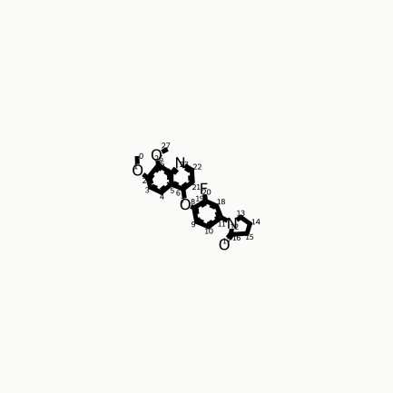 COc1ccc2c(Oc3ccc(N4CCCC4=O)cc3F)ccnc2c1OC